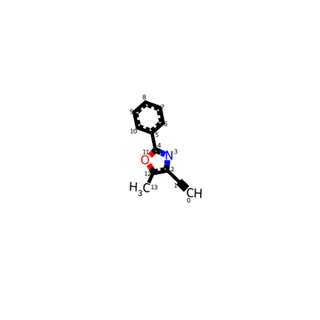 C#Cc1nc(-c2ccccc2)oc1C